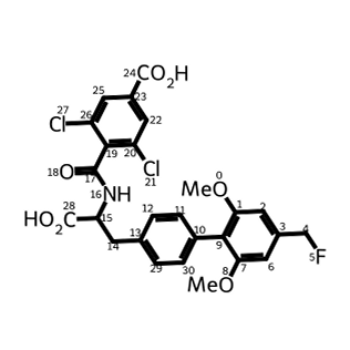 COc1cc(CF)cc(OC)c1-c1ccc(CC(NC(=O)c2c(Cl)cc(C(=O)O)cc2Cl)C(=O)O)cc1